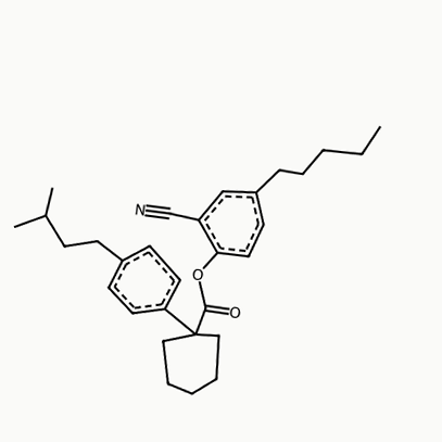 CCCCCc1ccc(OC(=O)C2(c3ccc(CCC(C)C)cc3)CCCCC2)c(C#N)c1